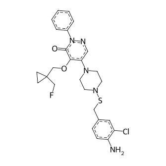 Nc1ccc(CSN2CCN(c3cnn(-c4ccccc4)c(=O)c3OCC3(CF)CC3)CC2)cc1Cl